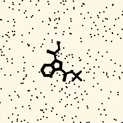 CC(C)(C)OC(=O)n1cc(C(=O)CBr)c2cccnc21